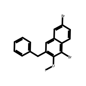 Brc1ccc2c(Br)c(OI)c(Cc3ccccc3)cc2c1